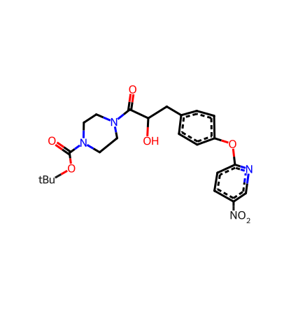 CC(C)(C)OC(=O)N1CCN(C(=O)C(O)Cc2ccc(Oc3ccc([N+](=O)[O-])cn3)cc2)CC1